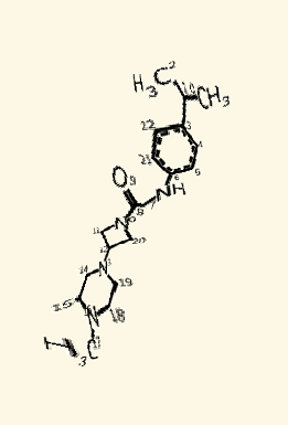 CC(C)c1ccc(NC(=O)N2CC(N3CCN(C)CC3)C2)cc1